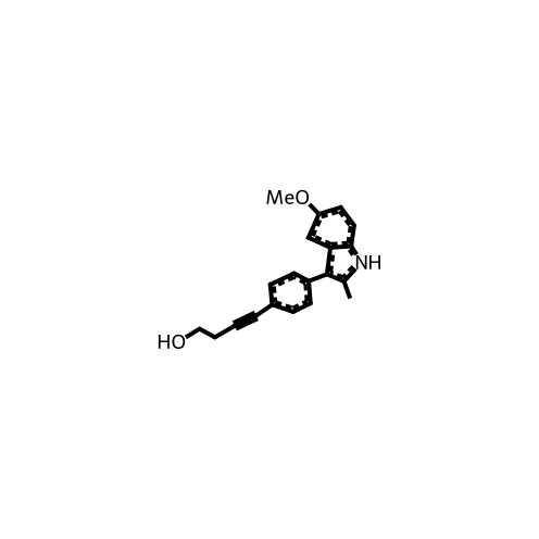 COc1ccc2[nH]c(C)c(-c3ccc(C#CCCO)cc3)c2c1